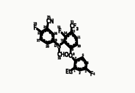 CCc1cc(F)ccc1Oc1ccc(C(F)(F)F)c(F)c1N(C=O)c1ccc(F)c(C#N)c1